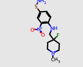 CN1CCC(F)(CNc2ccc(SN)cc2[N+](=O)[O-])CC1